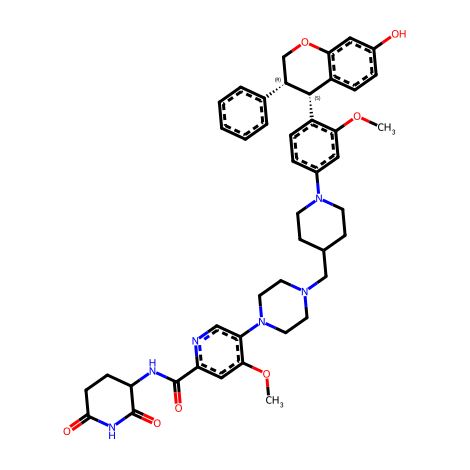 COc1cc(N2CCC(CN3CCN(c4cnc(C(=O)NC5CCC(=O)NC5=O)cc4OC)CC3)CC2)ccc1[C@H]1c2ccc(O)cc2OC[C@H]1c1ccccc1